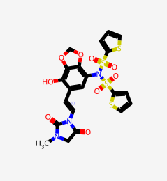 CN1CC(=O)N(/C=C/c2cc(N(S(=O)(=O)c3cccs3)S(=O)(=O)c3cccs3)c3c(c2O)OCO3)C1=O